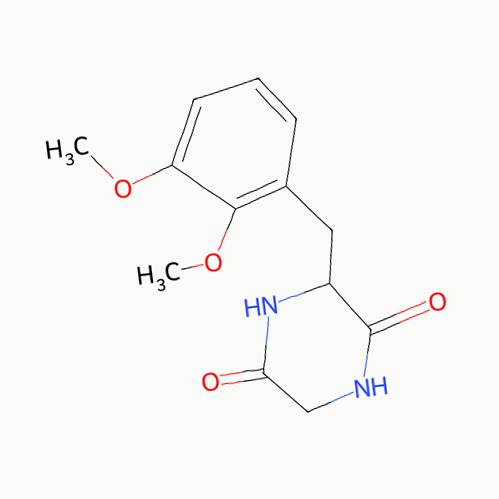 COc1cccc(CC2NC(=O)CNC2=O)c1OC